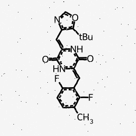 Cc1ccc(F)c(/C=c2\[nH]c(=O)/c(=C/c3ncoc3C(C)(C)C)[nH]c2=O)c1F